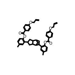 C=CCOc1ccc(C(=O)Oc2ccc(C)cc2C2CC3C4CC(c5cc(C)ccc5OC(=O)c5ccc(OCC=C)cc5)C(C4)C3C2)cc1